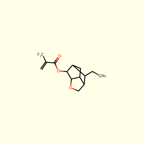 C=C(C(=O)OC1C2CC3C(COC31)C2COC(C)=O)C(F)(F)F